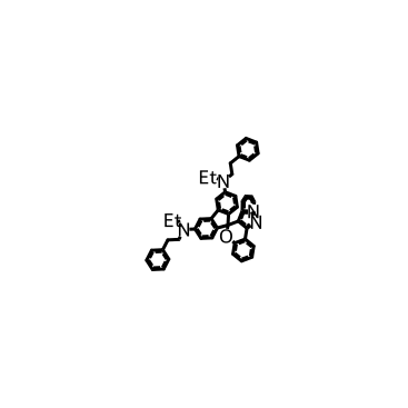 CCN(CCc1ccccc1)c1ccc2c(c1)-c1cc(N(CC)CCc3ccccc3)ccc1C21Oc2ccccc2-c2nn3ccccc3c21